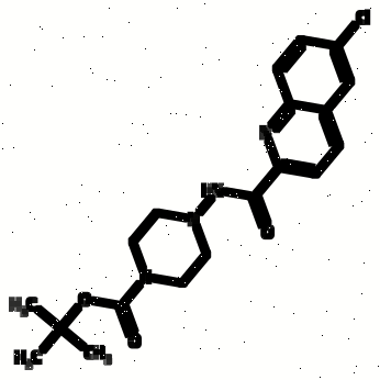 CC(C)(C)OC(=O)N1CCN(NC(=O)c2ccc3cc(Cl)ccc3n2)CC1